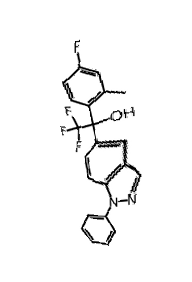 Cc1cc(F)ccc1C(O)(c1ccc2c(cnn2-c2ccccc2)c1)C(F)(F)F